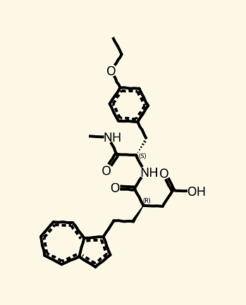 CCOc1ccc(C[C@H](NC(=O)[C@H](CCc2ccc3cccccc2-3)CC(=O)O)C(=O)NC)cc1